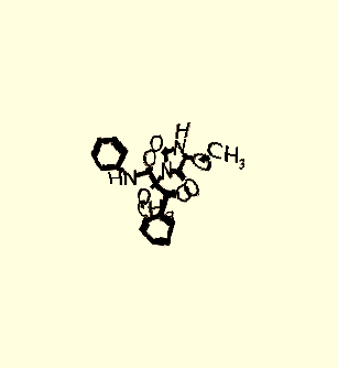 COC1NC(=O)N(C(OC)(C(=O)Nc2ccccc2)C(=O)c2ccccc2)C1=O